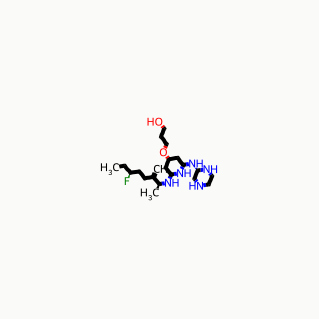 C=C(CC[C@H](F)CC)[C@H](C)NC1CC(OCCCO)CC(N[C@H]2CNCCN2)N1